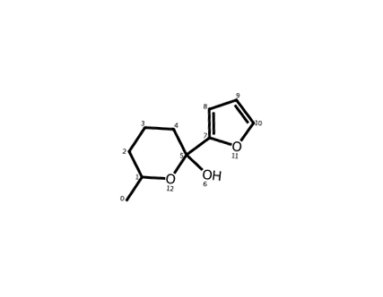 CC1CCCC(O)(c2ccco2)O1